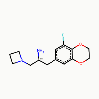 N[C@@H](Cc1cc(F)c2c(c1)OCCO2)CN1CCC1